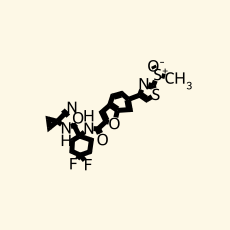 C[S+]([O-])c1nc(-c2ccc3cc(C(=O)NC4(C(=O)NC5(C#N)CC5)CCC(F)(F)CC4)oc3c2)cs1